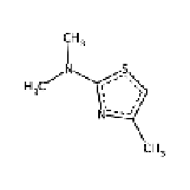 Cc1csc(N(C)C)n1